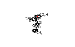 Cn1cc(C(=O)Nc2cc(Cl)c(CC(=O)C(O[C@H]3CC[C@H](C(=O)O)CC3)(N3CCCC3)N3CCN(C(=O)C(C)(C)C)CC3)cc2Cl)c2ccccc21